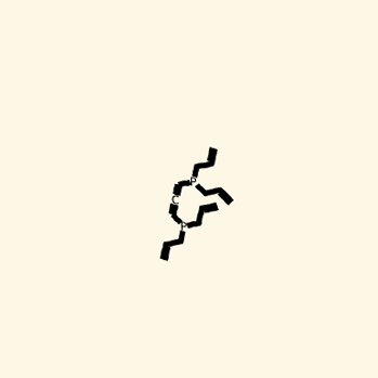 C=CCP(C=C=CP(CC=C)CC=C)CC=C